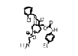 CCc1ccc(NC(=O)OCC2(C(=O)NCc3ccccc3Cl)CCN(S(=O)(=O)CCN)CC2)cc1